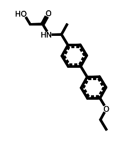 CCOc1ccc(-c2ccc(C(C)NC(=O)CO)cc2)cc1